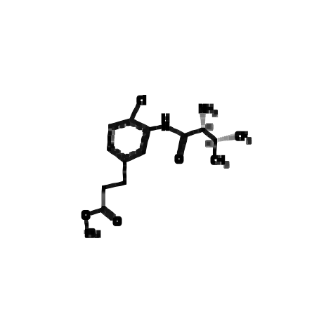 C[C@H]([C@@H](N)C(=O)Nc1cc(CCC(=O)OC(C)(C)C)ccc1Cl)C(F)(F)F